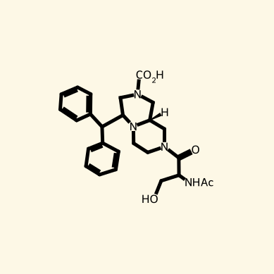 CC(=O)NC(CO)C(=O)N1CCN2C(C(c3ccccc3)c3ccccc3)CN(C(=O)O)C[C@@H]2C1